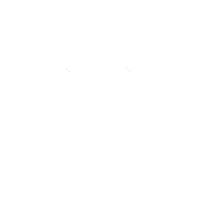 CC(=O)NCCCC(c1ccc(F)c(-c2cccc(C)c2)c1)C1CCCNC1